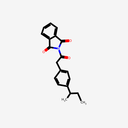 CCC(C)c1ccc(CC(=O)N2C(=O)c3ccccc3C2=O)cc1